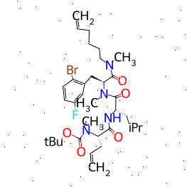 C=CCCCCN(C)C(=O)[C@H](Cc1cc(F)ccc1Br)N(C)C(=O)[C@H](CC(C)C)NC(=O)[C@H](CC=C)N(C)C(=O)OC(C)(C)C